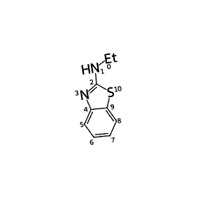 CCNc1nc2ccccc2s1